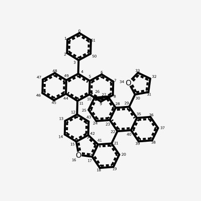 c1ccc(-c2c3ccccc3c(-c3ccc4oc5cccc(-c6c7ccccc7c(-c7ccco7)c7ccccc67)c5c4c3)c3ccccc23)cc1